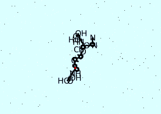 Cc1c(COc2cc(OCc3cncc(C#N)c3)c(CNC[C@@H](O)CC(=O)O)cc2Cl)cccc1-c1cccc(-c2ccc3c(CNC[C@@H](O)CC(=O)O)cccc3c2)c1C